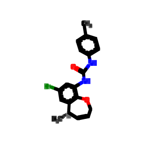 Cc1ccc(NC(=O)Nc2cc(Br)cc3c2OCC=C[C@@H]3C)cc1